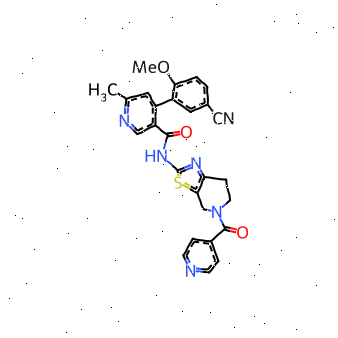 COc1ccc(C#N)cc1-c1cc(C)ncc1C(=O)Nc1nc2c(s1)CN(C(=O)c1ccncc1)CC2